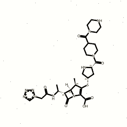 CC(NC(=O)Cn1cnnn1)[C@H]1C(=O)N2C(C(=O)O)=C(S[C@@H]3CN[C@H](C(=O)N4CCC(C(=O)N5CCNCC5)CC4)C3)[C@H](C)[C@H]12